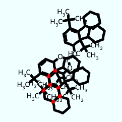 CC(C)(C)C1=C(C2CCCCC2)C(C2CCCCC2)(C(C)(C)C)C(OP(OC2C=CC(C(C)(C)C)=C(C3CCCCC3)C2(C2CCCCC2)C(C)(C)C)OC2C=CC(C(C)(C)C)=C(C3CCCCC3)C2(C2CCCCC2)C(C)(C)C)C=C1